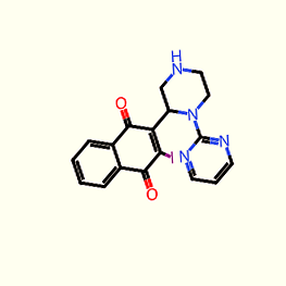 O=C1C(I)=C(C2CNCCN2c2ncccn2)C(=O)c2ccccc21